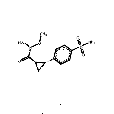 CON(C)C(=O)[C@@H]1C[C@H]1c1ccc(S(N)(=O)=O)cc1